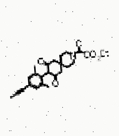 CC#Cc1cc(C)c(C2C(=O)CC3(CCN(C(=O)C(=O)OCC)CC3)CC2=O)c(C)c1